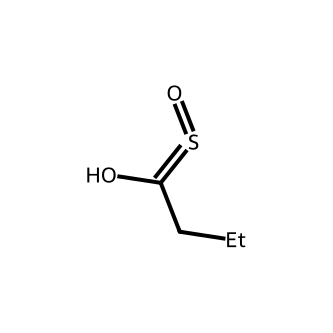 CCCC(O)=S=O